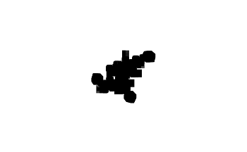 CN1C(=O)OC2C3O[C@H](O[C@H]4C[C@H](O)[C@@H](C(O)OCc5ccccc5)CC4N)[C@@H](NC(=O)OCc4ccccc4)C[C@@H]3OC(O[C@H]3OC(CO)[C@@H](NC(=O)OCc4ccccc4)C[C@@H]3O)C21